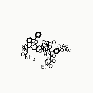 CCN1CCN(C(=O)NC(C(=O)N[C@]2(NC=O)C(=O)N3C(C(=O)OC(c4ccccc4)c4ccccc4)=C(CSc4nnnn4CC(N)=O)CS[C@H]32)c2ccc(OC(C)=O)c(OC(C)=O)c2)C(=O)C1=O